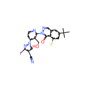 CC(C)(C)c1cc(F)c2c(=O)n(-c3nccc(-n4cc(C#N)c(I)n4)c3CO)ncc2c1